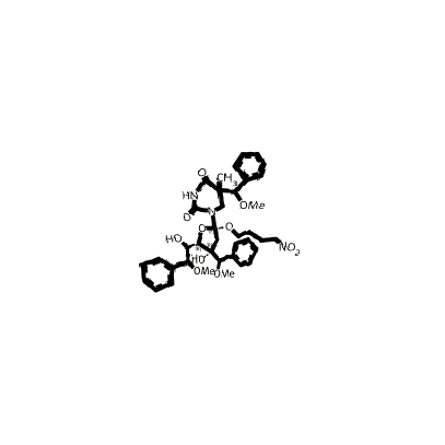 COC(c1ccccc1)C(O)[C@H]1O[C@@](OCCCC[N+](=O)[O-])(N2CC(C)(C(OC)c3ccccc3)C(=O)NC2=O)C[C@@]1(O)C(OC)c1ccccc1